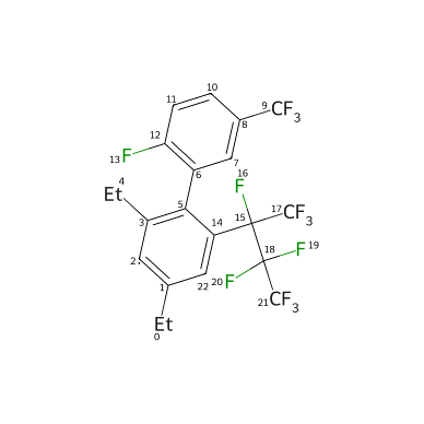 CCc1[c]c(CC)c(-c2cc(C(F)(F)F)ccc2F)c(C(F)(C(F)(F)F)C(F)(F)C(F)(F)F)c1